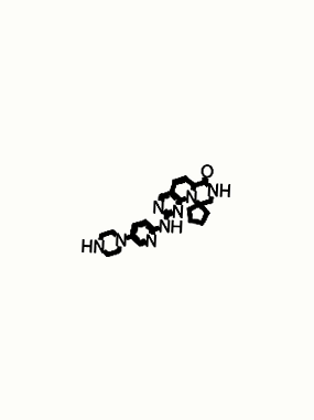 O=C1NCC2(CCCC2)N2c3nc(Nc4ccc(N5CCNCC5)cn4)ncc3C=CC12